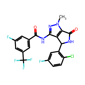 Cn1nc(NC(=O)c2cc(F)cc(C(F)(F)F)c2)c2c1C(=O)NC2c1cc(F)ccc1Cl